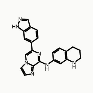 c1cn2cc(-c3ccc4cn[nH]c4c3)nc(Nc3ccc4c(c3)NCCC4)c2n1